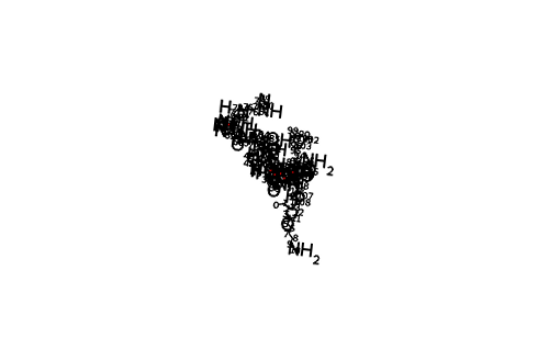 CCc1cc(OCCCCN)ccc1-c1ccc(C[C@H](NC(=O)[C@H](CC(=O)O)NC(=O)[C@H](C)NC(=O)[C@@H](NC(=O)[C@](C)(Cc2ccccc2F)NC(=O)[C@@H](NC(=O)CNC(=O)[C@H](Cc2nn[nH]n2)NC(=O)[C@@H]2CCN(CCc3cnc[nH]3)C2)[C@@H](C)O)[C@@H](C)O)C(=O)N[C@@H](CCCc2cc(C)cc(C)c2)C(N)=O)cc1